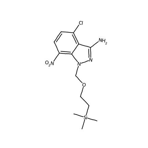 C[Si](C)(C)CCOCn1nc(N)c2c(Cl)ccc([N+](=O)[O-])c21